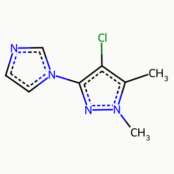 Cc1c(Cl)c(-n2ccnc2)nn1C